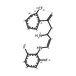 C=C(CC(N)/C=C\Nc1c(F)cccc1F)c1ccccc1C(F)(F)F